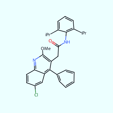 COc1nc2ccc(Cl)cc2c(-c2ccccc2)c1CC(=O)Nc1c(C(C)C)cccc1C(C)C